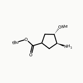 CO[C@H]1CC(C(=O)OC(C)(C)C)C[C@@H]1N